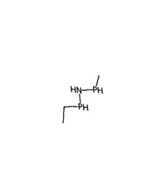 CCPNPC